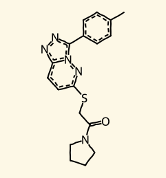 Cc1ccc(-c2nnc3ccc(SCC(=O)N4CCCC4)nn23)cc1